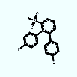 CS(=O)(=O)c1cccc(-c2ccc(F)cc2)c1-c1ccc(F)cc1